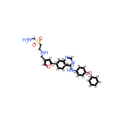 NCS(=O)(=O)CCNCc1coc(-c2ccc3c(Nc4ccc(Oc5ccccc5)cc4)ncnc3c2)c1